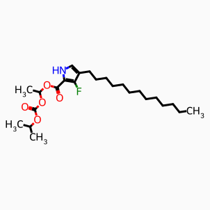 CCCCCCCCCCCCCc1c[nH]c(C(=O)OC(C)OC(=O)OC(C)C)c1F